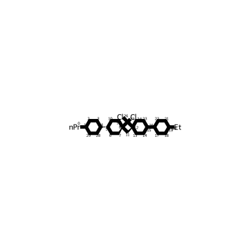 CCCC1CCC([C@H]2CC[C@]3(CC2)C[C@@]2(CCC(C4CCC(CC)CC4)CC2)C3(Cl)Cl)CC1